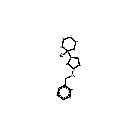 OC1(N2CC[C@@H](OCc3ccccc3)C2)CCCCC1